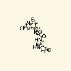 O=C(NCc1n[nH]c2ccc(Cl)cc12)c1cnc(Cc2cc(F)c3ncc(Cl)cc3c2)o1